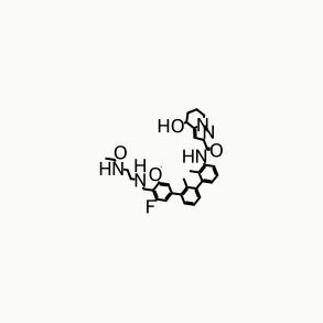 COc1cc(-c2cccc(-c3cccc(NC(=O)c4cc5n(n4)CCCC5O)c3C)c2C)cc(F)c1CNCCNC(C)=O